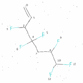 C=CC(F)C(F)(F)CC(F)C(F)F